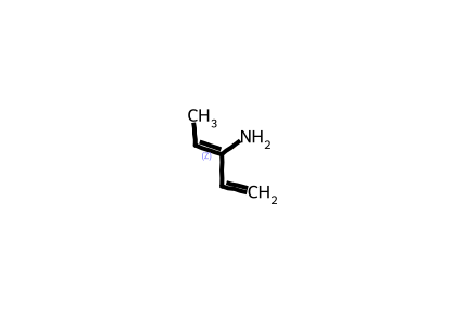 C=C/C(N)=C/C